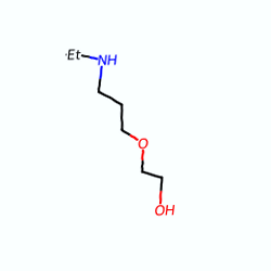 [CH2][CH]NCCCOCCO